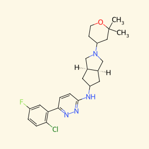 CC1(C)CC(N2C[C@H]3CC(Nc4ccc(-c5cc(F)ccc5Cl)nn4)C[C@H]3C2)CCO1